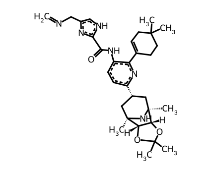 C=NCc1c[nH]c(C(=O)Nc2ccc([C@H]3C[C@@]4(C)N[C@@](C)(C3)[C@@H]3OC(C)(C)O[C@@H]34)nc2C2=CCC(C)(C)CC2)n1